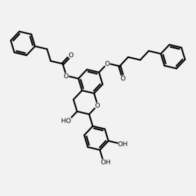 O=C(CCCc1ccccc1)Oc1cc(OC(=O)CCc2ccccc2)c2c(c1)OC(c1ccc(O)c(O)c1)C(O)C2